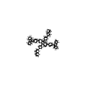 c1ccc2cc(-c3ccc(-c4c5ccc(-c6ccc(-n7c8ccccc8c8ccccc87)cc6)cc5c(-c5ccc(-c6ccc7ccccc7c6)cc5)c5ccc(-c6ccc(-n7c8ccccc8c8ccccc87)cc6)cc45)cc3)ccc2c1